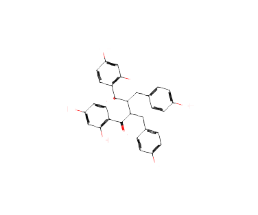 O=C(c1ccc(O)cc1O)C(Cc1ccc(O)cc1)C(Cc1ccc(O)cc1)C(=O)c1ccc(O)cc1O